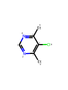 CCc1ncnc(CC)c1Cl